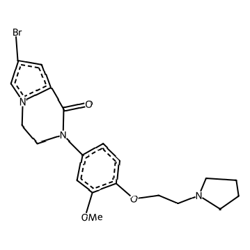 COc1cc(N2CCn3cc(Br)cc3C2=O)ccc1OCCN1CCCC1